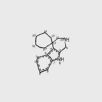 c1ccc2c3c([nH]c2c1)CNCC31CCCCC1